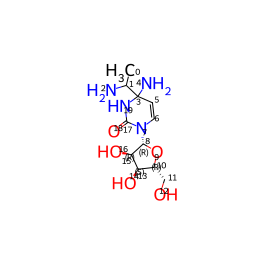 CC(N)C1(N)C=CN([C@@H]2O[C@H](CO)[C@@H](O)[C@H]2O)C(=O)N1